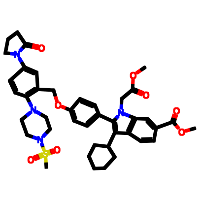 COC(=O)Cn1c(-c2ccc(OCc3cc(N4CCCC4=O)ccc3N3CCN(S(C)(=O)=O)CC3)cc2)c(C2CCCCC2)c2ccc(C(=O)OC)cc21